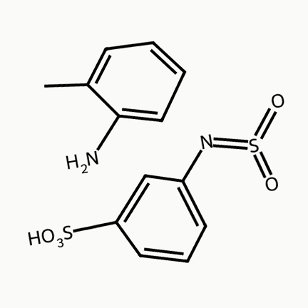 Cc1ccccc1N.O=S(=O)=Nc1cccc(S(=O)(=O)O)c1